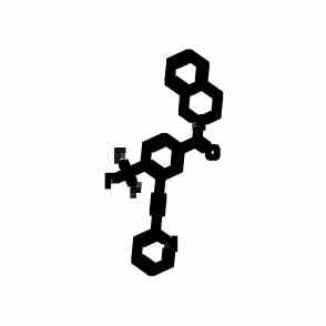 O=C(c1ccc(C(F)(F)F)c(C#Cc2ccccn2)c1)N1CCc2ccccc2C1